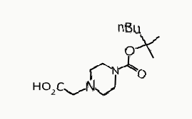 CCCCC(C)(C)OC(=O)N1CCN(CC(=O)O)CC1